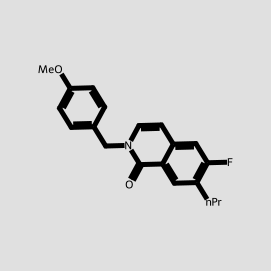 CCCc1cc2c(=O)n(Cc3ccc(OC)cc3)ccc2cc1F